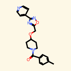 Cc1ccc(C(=O)N2CCC(OCc3nc(-c4ccncc4)no3)CC2)cc1